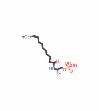 CCCCCCCC/C=C\CCCCCCCC(=O)N[C@@H](COP(=O)(O)O)C(C)C